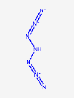 [N-]=[N+]=NNN=[N+]=[N-]